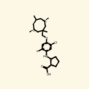 CC1C[C@@H](C)CC(C)(COc2cc(F)c(NC3CCCC3C(=O)O)cc2Cl)C[C@@H](C)C1